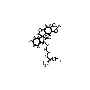 CC(C)CCCCN1C(=O)C2(COc3cc4c(cc32)OCO4)c2ccccc21